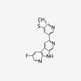 CSc1cncc(-c2cc3c(cn2)[nH]c2ncc(F)cc23)c1